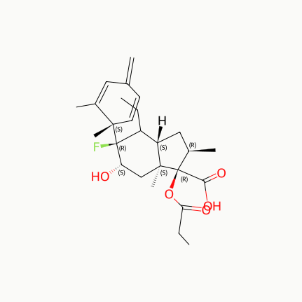 C=C1C=C[C@](C)([C@]2(F)C(CC)[C@@H]3C[C@@H](C)[C@](OC(=O)CC)(C(=O)O)[C@@]3(C)C[C@@H]2O)C(C)=C1